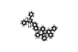 CN1C(c2ccccc2)C=C(c2ccc3cc(N4c5ccccc5-c5c(n(-c6ccc(-c7ccccc7)c7ccccc67)c6ccccc56)-c5ccccc54)ccc3c2)NC1c1ccccc1